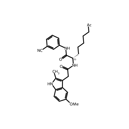 COc1ccc2[nH]c(C)c(CC(=O)N[C@@H](CCCCCC(C)=O)C(=O)Nc3cccc(C#N)c3)c2c1